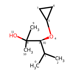 CC(C)[C@H](OC1CC1)C(C)(C)O